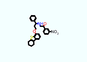 O=C(CNC(CCOc1cccc2c3c(sc12)CCCC3)c1ccccc1)c1cccc([N+](=O)[O-])c1